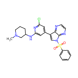 CN1CCCC(Nc2cc(-c3cn(S(=O)(=O)c4ccccc4)c4nccnc34)cc(Cl)n2)C1